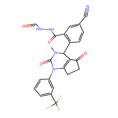 CN1C(=O)N(c2cccc(C(F)(F)F)c2)C2=C(C(=O)CC2)C1c1ccc(C#N)cc1C(=O)NNC=O